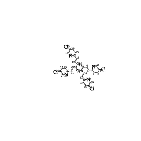 Clc1ccc(C=Cc2nc(C=Cc3ccc(Cl)cn3)c(C=Cc3ccc(Cl)cn3)nc2C=Cc2ccc(Cl)cn2)nc1